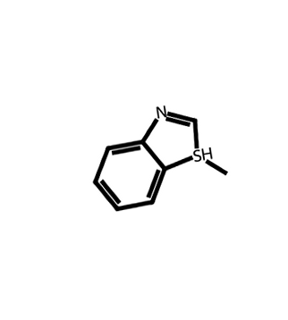 C[SH]1C=Nc2ccccc21